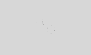 Cc1cnn(-c2cc(N)ccc2Cl)c1